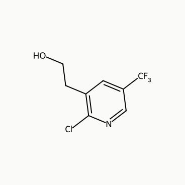 OCCc1cc(C(F)(F)F)cnc1Cl